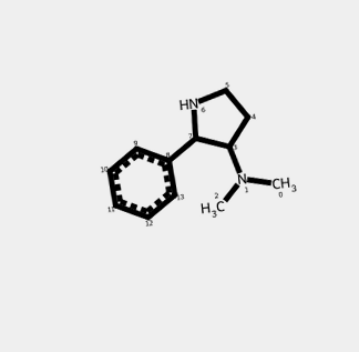 CN(C)C1CCNC1c1ccccc1